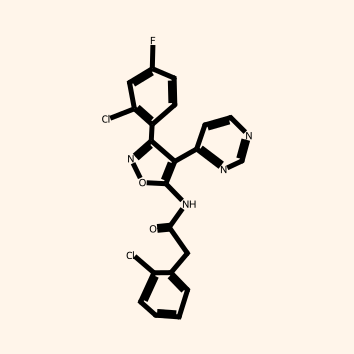 O=C(Cc1ccccc1Cl)Nc1onc(-c2ccc(F)cc2Cl)c1-c1ccncn1